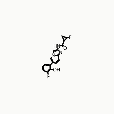 O=C(Nc1cn2cc(-c3cccc(F)c3O)ccc2n1)C1CC1F